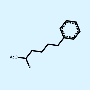 CC(=O)OC(F)CCCCc1ccccc1